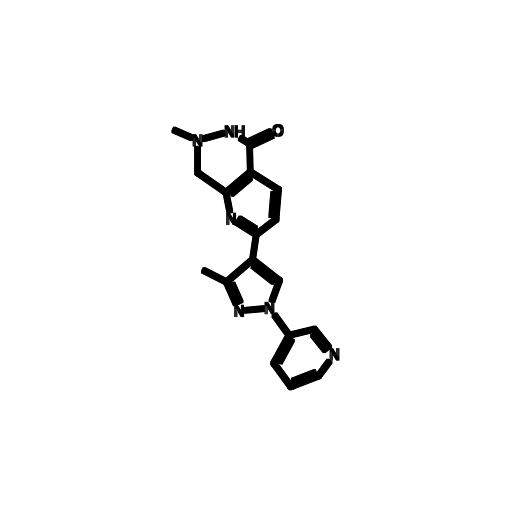 Cc1nn(-c2cccnc2)cc1-c1ccc2c(n1)CN(C)NC2=O